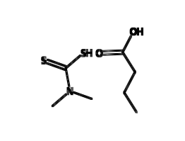 CCCC(=O)O.CN(C)C(=S)S